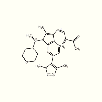 C=C(/C=C\c1c(C)n([C@H](C)C2CCOCC2)c2cc(-c3c(C)nnn3C)cnc12)C(C)=O